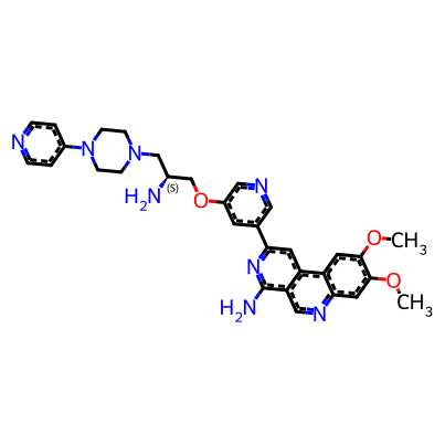 COc1cc2ncc3c(N)nc(-c4cncc(OC[C@@H](N)CN5CCN(c6ccncc6)CC5)c4)cc3c2cc1OC